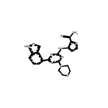 NC(=O)c1sccc1Nc1nc(-c2cccc3[nH]ncc23)nc(N2CCOCC2)n1